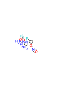 CN1C(N)c2ccc(-c3c(OCCN4CCOCC4)cccc3C(F)(F)F)nc2N(OC(=O)C(F)(F)F)C1N